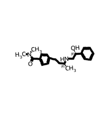 C[C@H](CCc1ccc(C(=O)N(C)C)cc1)NC[C@H](O)c1ccccc1